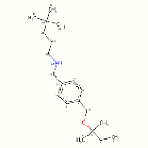 CCC(C)(C)OCc1ccc(CNCCCC(C)(C)C)cc1